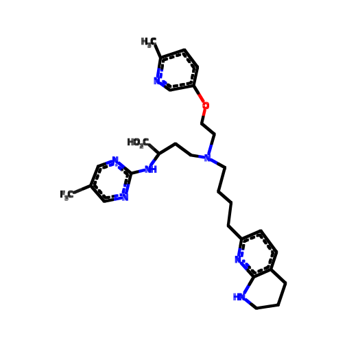 Cc1ccc(OCCN(CCCCc2ccc3c(n2)NCCC3)CCC(Nc2ncc(C(F)(F)F)cn2)C(=O)O)cn1